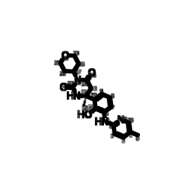 Cc1ccc(Nc2cccc([C@]3(C)CC(=O)N(C4CCOCC4)C(=O)N3)c2O)nc1